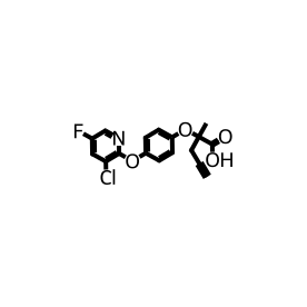 C#CCC(C)(Oc1ccc(Oc2ncc(F)cc2Cl)cc1)C(=O)O